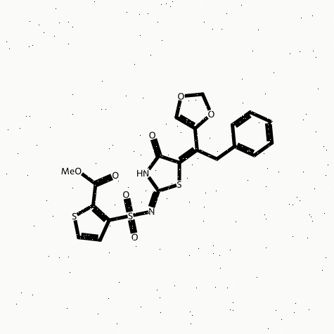 COC(=O)c1sccc1S(=O)(=O)N=C1NC(=O)C(=C(Cc2ccccc2)C2=COCO2)S1